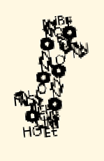 CCC(C)n1ncn(-c2ccc(N3CCN(c4ccc(OC[C@H]5CN(C)[C@](Cn6nccn6)(c6ccccc6)S5)cc4)C(c4cc(N5CCN(c6ccc(-n7cnn([C@@H](CC)[C@H](C)O)c7=O)cc6)CC5)ccc4OC[C@H]4CO[C@](Cn5nccn5)(c5ccc(F)cc5F)C4)C3)cc2)c1=O